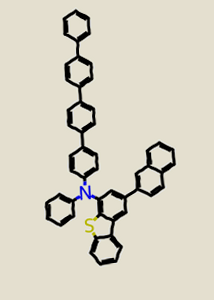 c1ccc(-c2ccc(-c3ccc(-c4ccc(N(c5ccccc5)c5cc(-c6ccc7ccccc7c6)cc6c5sc5ccccc56)cc4)cc3)cc2)cc1